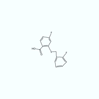 O=C(O)c1ccc(F)cc1SCc1ccccc1F